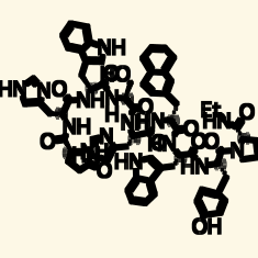 CCNC(=O)[C@@H]1CCCN1C(=O)[C@H](Cc1ccc(O)cc1)NC(=O)[C@H](Cc1c[nH]c2ccccc12)NC(=O)[C@@H](Cc1ccc2ccccc2c1)NC(=O)[C@H](Cc1c[nH]cn1)NC(=O)[C@H](CO)NC(=O)[C@H](Cc1c[nH]c2ccccc12)NC(=O)[C@H](Cc1c[nH]cn1)NC(=O)[C@@H]1CCC(=O)N1